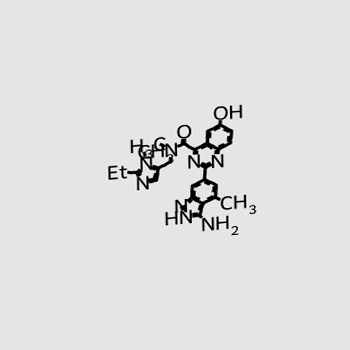 CCc1ncc(CN(C)C(=O)c2nc(-c3cc(C)c4c(N)[nH]nc4c3)nc3ccc(O)cc23)n1C